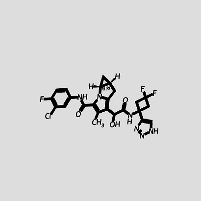 Cc1c(C(O)C(=O)NC2(c3c[nH]nn3)CC(F)(F)C2)c2n(c1C(=O)Nc1ccc(F)c(Cl)c1)[C@@H]1C[C@@H]1C2